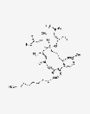 CCCCCCCOc1ccc(-c2ccc(O)cc2CCC[Si](OC(C)=CC(C)=O)(OC(C)=CC(C)=O)OC(C)=CC(C)=O)cc1